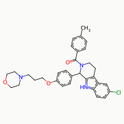 Cc1ccc(C(=O)N2CCc3c([nH]c4ccc(Cl)cc34)C2c2ccc(OCCCN3CCOCC3)cc2)cc1